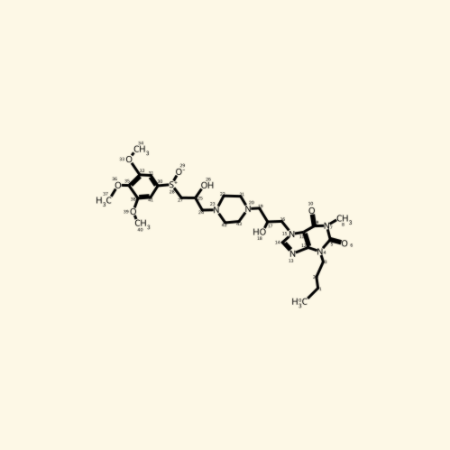 CCCCn1c(=O)n(C)c(=O)c2c1ncn2CC(O)CN1CCN(CC(O)C[S+]([O-])c2cc(OC)c(OC)c(OC)c2)CC1